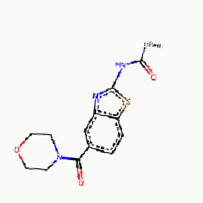 [CH2]CCCCC(=O)Nc1nc2cc(C(=O)N3CCOCC3)ccc2s1